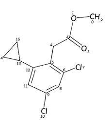 COC(=O)Cc1c(Cl)cc(Cl)cc1C1CC1